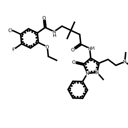 CCOc1cc(F)c(Cl)cc1C(=O)NCC(C)(C)CC(=O)Nc1c(CCN(C)C)n(C)n(-c2ccccc2)c1=O